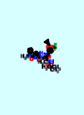 CC(NC(=O)OC(C)(C)C)c1oc(-c2ccc(OC(F)F)c(OCC3CC3)c2)nc1CNC(=O)c1cccc(C(=O)N(C)C2CCCCC2)n1